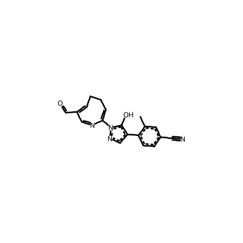 Cc1cc(C#N)ccc1-c1cnn(C2=C/CC/C=C(C=O)/C=N\2)c1O